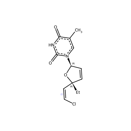 CC[C@]1(/C=C\Cl)C=C[C@H](n2cc(C)c(=O)[nH]c2=O)O1